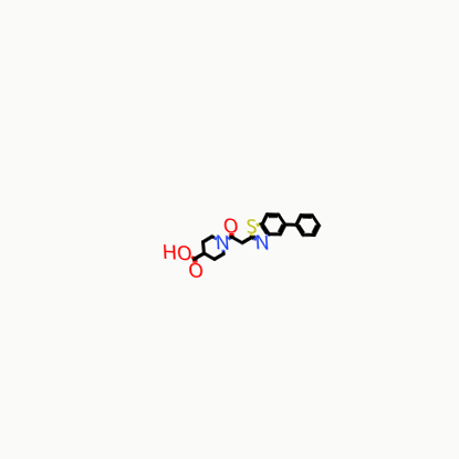 O=C(O)C1CCN(C(=O)Cc2nc3cc(-c4ccccc4)ccc3s2)CC1